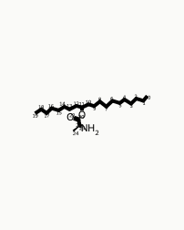 CCCCCCCCCCCC(CCCCCCCC)OC(=O)[C@H](C)N